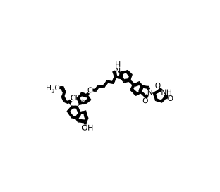 C=C(/C=C\C=C/C)[C@H]1CCc2cc(O)ccc2[C@H]1c1ccc(OCCCCCc2c[nH]c3ccc(-c4ccc5c(c4)CN([C@H]4CCC(=O)NC4=O)C5=O)cc23)cc1